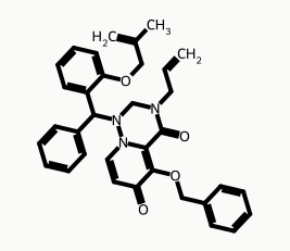 C=CCN1CN(C(c2ccccc2)c2ccccc2OCC(=C)C)n2ccc(=O)c(OCc3ccccc3)c2C1=O